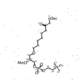 CCCCCCCCCCCC(=O)CCCCCCOC[C@H](COP(=O)([O-])OCC[N+](C)(C)C)OC